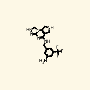 Nc1cc(CNC2=NC3=NNCN3C3=C2CNC3)cc(C(F)(F)F)c1